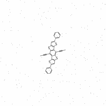 CC#Cc1c2sc3cc(-c4ccccc4)sc3c2c(C#CC)c2sc3cc(-c4ccccc4)sc3c12